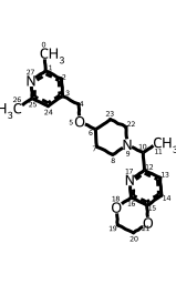 Cc1cc(COC2CCN(C(C)c3ccc4c(n3)OCCO4)CC2)cc(C)n1